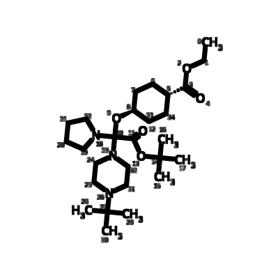 CCOC(=O)[C@H]1CC[C@H](OC(C(=O)OC(C)(C)C)(N2CCCC2)N2CCN(C(C)(C)C)CC2)CC1